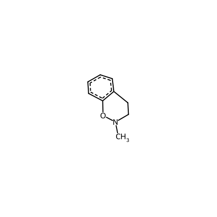 CN1CCc2ccccc2O1